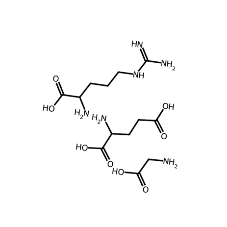 N=C(N)NCCCC(N)C(=O)O.NC(CCC(=O)O)C(=O)O.NCC(=O)O